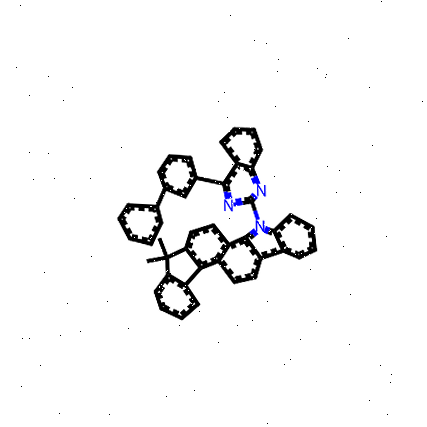 CC1(C)c2ccccc2-c2c1ccc1c2ccc2c3ccccc3n(-c3nc(-c4cccc(-c5ccccc5)c4)c4ccccc4n3)c12